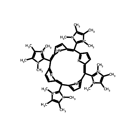 Cc1c(C)[n+](C)c(-c2c3nc(c(-c4n(C)c(C)c(C)[n+]4C)c4ccc([nH]4)c(-c4n(C)c(C)c(C)[n+]4C)c4nc(c(-c5n(C)c(C)c(C)[n+]5C)c5ccc2[nH]5)C=C4)C=C3)n1C